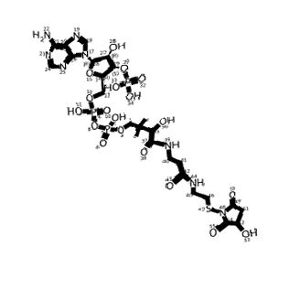 CC(C)(COP(=O)(O)OP(=O)(O)OC[C@H]1O[C@@H](n2cnc3c(N)ncnc32)[C@H](O)[C@@H]1OP(=O)(O)O)C(O)C(=O)NCCC(=O)NCCSN1C(=O)CC(O)C1=O